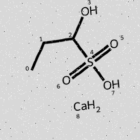 CCC(O)S(=O)(=O)O.[CaH2]